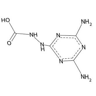 Nc1nc(N)nc(NNC(=O)O)n1